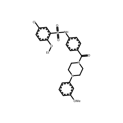 CCOc1ccc(Cl)cc1S(=O)(=O)Nc1ccc(C(=O)N2CCN(c3cccc(OC)c3)CC2)cc1